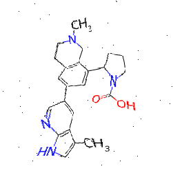 Cc1c[nH]c2ncc(-c3cc4c(c(C5CCCN5C(=O)O)c3)CN(C)CC4)cc12